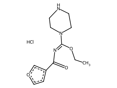 CCOC(=NC(=O)c1ccoc1)N1CCNCC1.Cl